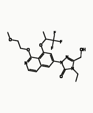 CCn1c(CO)nn(-c2cc(OC(C)C(F)(F)F)c3c(OCCOC)nccc3c2)c1=O